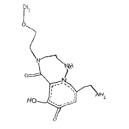 COCCN1CNn2c(CN)cc(=O)c(O)c2C1=O